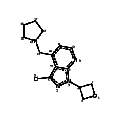 Clc1nn(C2COC2)c2nccc(CN3CCCC3)c12